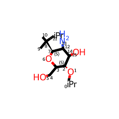 CC(C)O[C@@H]1C(CO)O[C@@H](C(C)(C)C(C)C)C(N)C1O